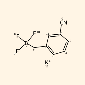 N#Cc1cccc(C[B-](F)(F)F)c1.[K+]